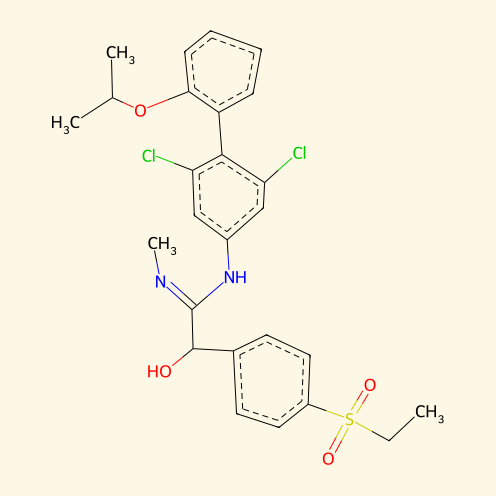 CCS(=O)(=O)c1ccc(C(O)/C(=N/C)Nc2cc(Cl)c(-c3ccccc3OC(C)C)c(Cl)c2)cc1